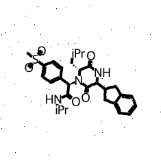 CC(C)C[C@@H]1C(=O)NC(C2Cc3ccccc3C2)C(=O)N1[C@@H](C(=O)NC(C)C)c1ccc(S(C)(=O)=O)cc1